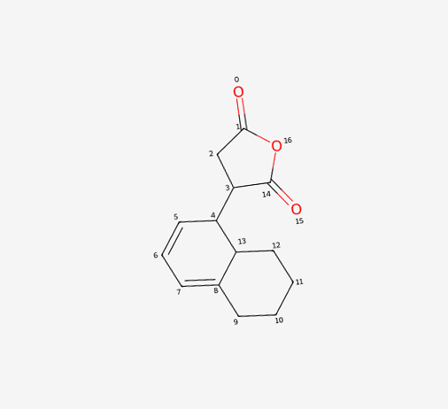 O=C1CC(C2C=CC=C3CCCCC32)C(=O)O1